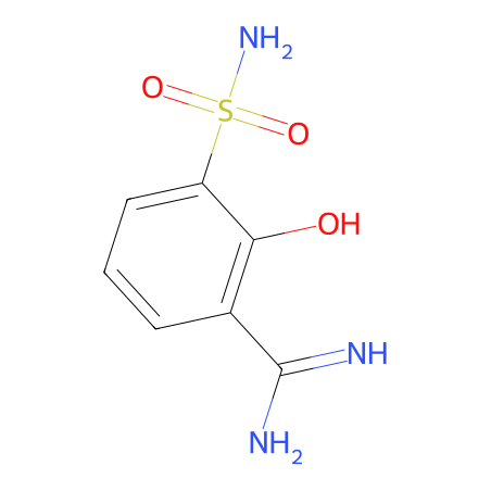 N=C(N)c1cccc(S(N)(=O)=O)c1O